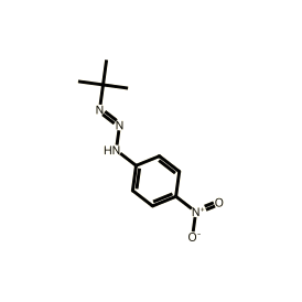 CC(C)(C)N=NNc1ccc([N+](=O)[O-])cc1